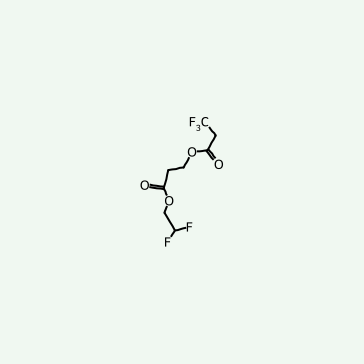 O=C(CCOC(=O)CC(F)(F)F)OCC(F)F